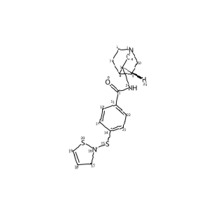 O=C(N[C@H]1CN2CCC1CC2)c1ccc(SN2CC=CS2)cc1